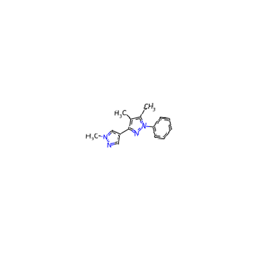 Cc1c(-c2cnn(C)c2)nn(-c2ccccc2)c1C